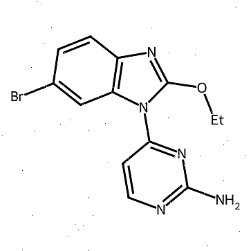 CCOc1nc2ccc(Br)cc2n1-c1ccnc(N)n1